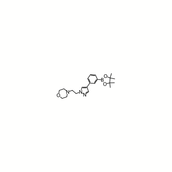 CC1(C)OB(c2cccc(-c3cnn(CCN4CCOCC4)c3)c2)OC1(C)C